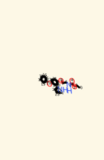 CCOC(=O)NCCOc1ccc(Oc2ccccc2)cc1.c1cc[nH]c1